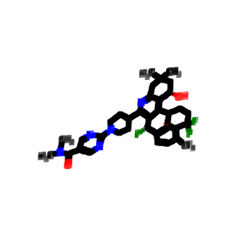 CN(C)C(=O)c1cnc(N2CCC(c3nc4c(c(C5CCC(F)(F)CC5)c3[C@@H](F)c3ccc(C(F)(F)F)cc3)[C@@H](O)CC(C)(C)C4)CC2)nc1